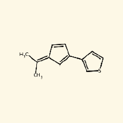 CC(C)=C1[C]=C(c2ccsc2)C=C1